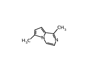 Cc1nccn2c(C)ccc12